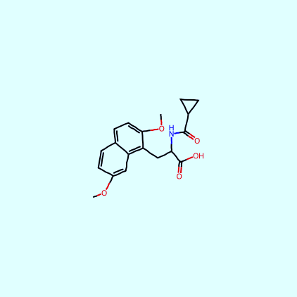 COc1ccc2ccc(OC)c(CC(NC(=O)C3CC3)C(=O)O)c2c1